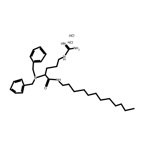 CCCCCCCCCCCCNC(=O)C(CCCNC(=N)N)N(Cc1ccccc1)Cc1ccccc1.Cl.Cl